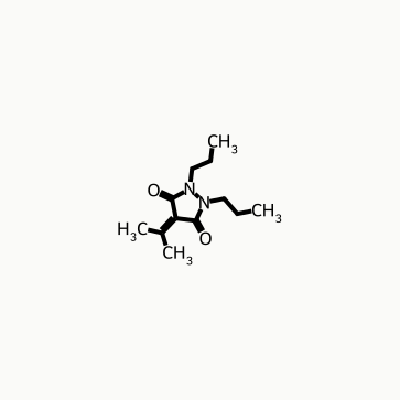 CCCN1C(=O)C(=C(C)C)C(=O)N1CCC